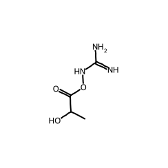 CC(O)C(=O)ONC(=N)N